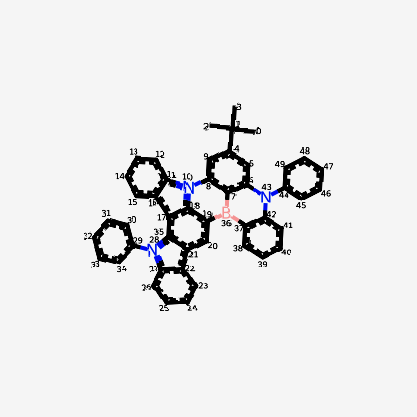 CC(C)(C)c1cc2c3c(c1)-n1c4ccccc4c4c1c(cc1c5ccccc5n(-c5ccccc5)c14)B3c1ccccc1N2c1ccccc1